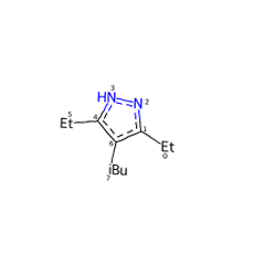 CCc1n[nH]c(CC)c1C(C)CC